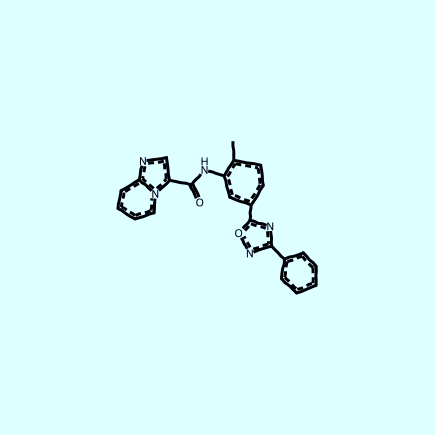 Cc1ccc(-c2nc(-c3ccccc3)no2)cc1NC(=O)c1cnc2ccccn12